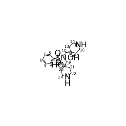 O=S(=O)(c1ccccc1)N(CC1(O)CCNCC1)CC1(O)CCNCC1